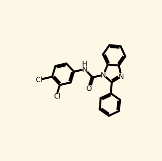 O=C(Nc1ccc(Cl)c(Cl)c1)n1c(-c2ccccc2)nc2ccccc21